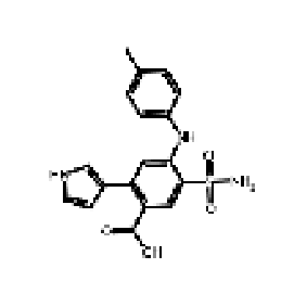 Cc1ccc(Nc2cc(-c3cc[nH]c3)c(C(=O)O)cc2S(N)(=O)=O)cc1